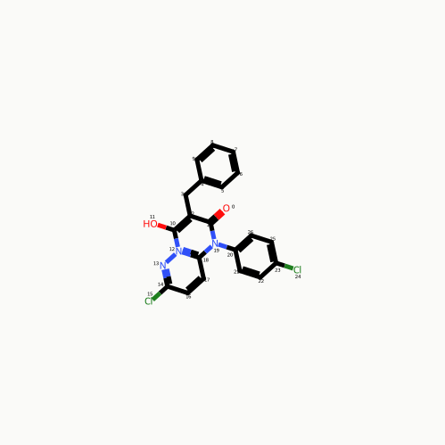 O=c1c(Cc2ccccc2)c(O)[n+]2nc(Cl)ccc2n1-c1ccc(Cl)cc1